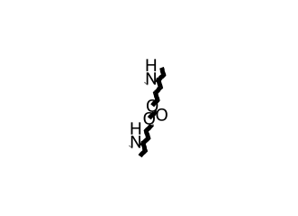 CCC(CCCOC(=O)OCCCC(CC)NC)NC